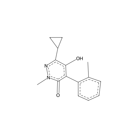 Cc1ccccc1-c1c(O)c(C2CC2)nn(C)c1=O